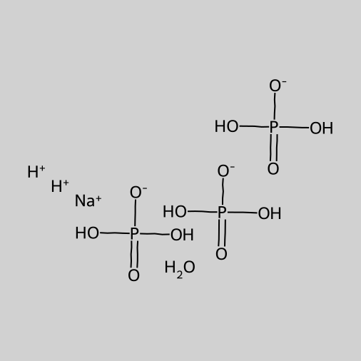 O.O=P([O-])(O)O.O=P([O-])(O)O.O=P([O-])(O)O.[H+].[H+].[Na+]